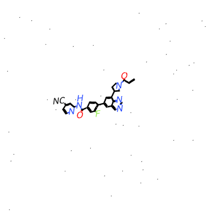 C=CC(=O)N1CCC(c2cc(-c3ccc(C(=O)Nc4cc(C#N)ccn4)cc3F)cc3cncnc23)C1